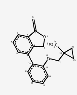 O=C1OCc2c1cccc2-c1ccccc1OCC1(C(=O)O)CC1